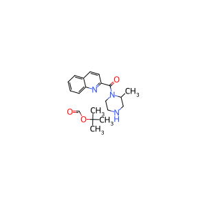 CC(C)(C)OC=O.CC1CNCCN1C(=O)c1ccc2ccccc2n1